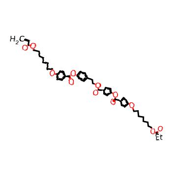 C=CC(=O)OCCCCCCCCOc1ccc(C(=O)Oc2ccc(CCOC(=O)c3ccc(OC(=O)c4ccc(OCCCCCCCCOC(=O)CC)cc4)cc3)cc2)cc1